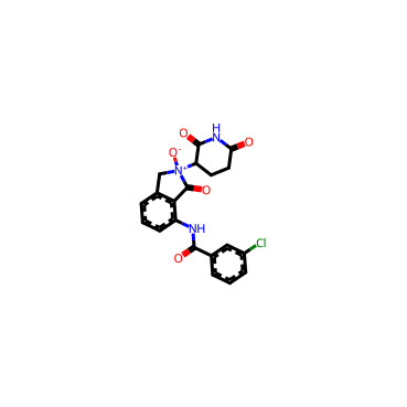 O=C1CCC([N+]2([O-])Cc3cccc(NC(=O)c4cccc(Cl)c4)c3C2=O)C(=O)N1